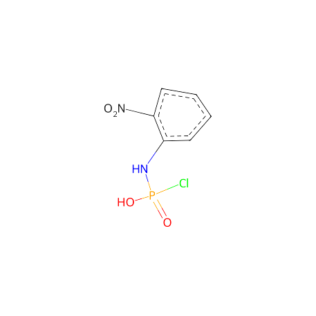 O=[N+]([O-])c1ccccc1NP(=O)(O)Cl